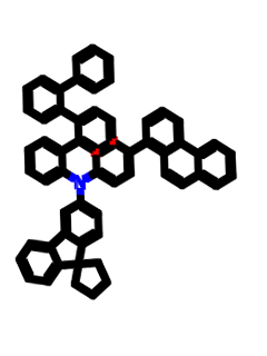 c1ccc(-c2ccccc2-c2ccccc2-c2ccccc2N(c2ccc(-c3cccc4c3ccc3ccccc34)cc2)c2ccc3c(c2)-c2ccccc2C32CCCC2)cc1